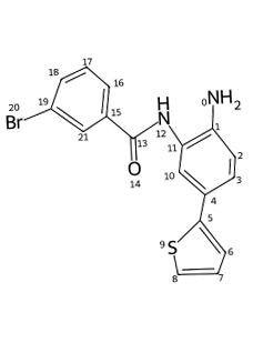 Nc1ccc(-c2cccs2)cc1NC(=O)c1cccc(Br)c1